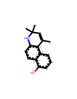 CC1=CC(C)(C)Nc2ccc3c(O)cccc3c21